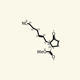 COC(=O)[C@H]1CCC(=O)[C@@H]1CC=CCCCC#N